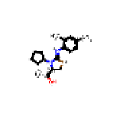 Cc1cc([N+](=O)[O-])ccc1N=C1SC[C@@H]([C@@H](C)O)N1C1CCCC1